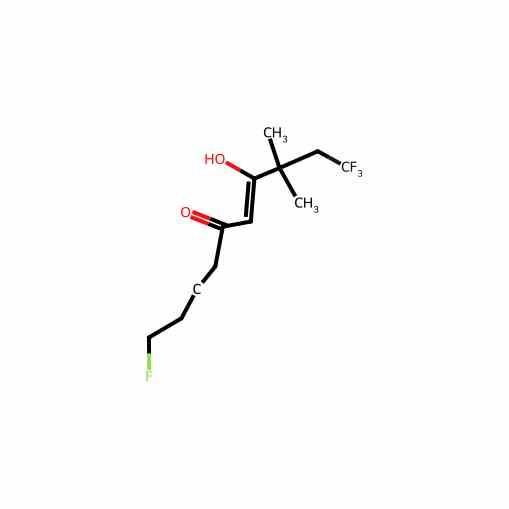 CC(C)(CC(F)(F)F)/C(O)=C/C(=O)CCCCF